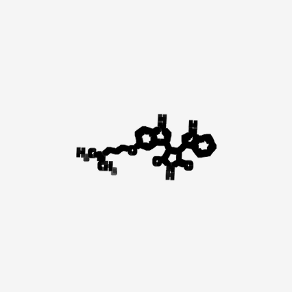 CN(C)CCCOc1ccc2[nH]cc(C3=C(c4c[nH]c5ccccc45)C(=O)NC3=O)c2c1